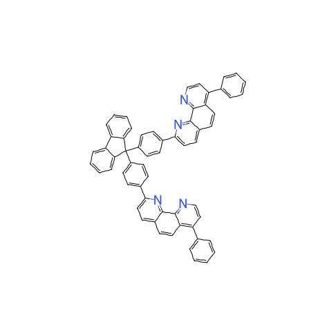 c1ccc(-c2ccnc3c2ccc2ccc(-c4ccc(C5(c6ccc(-c7ccc8ccc9c(-c%10ccccc%10)ccnc9c8n7)cc6)c6ccccc6-c6ccccc65)cc4)nc23)cc1